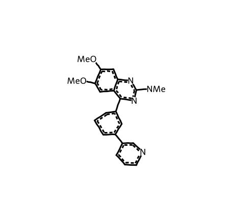 CNc1nc(-c2cccc(-c3cccnc3)c2)c2cc(OC)c(OC)cc2n1